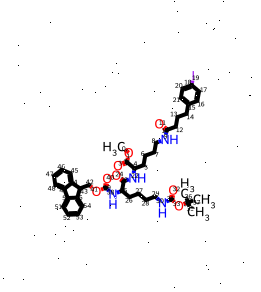 COC(=O)C(CCCCNC(=O)CCCc1ccc(I)cc1)NC(=O)C(CCCCNC(=O)OC(C)(C)C)NC(=O)OCC1c2ccccc2-c2ccccc21